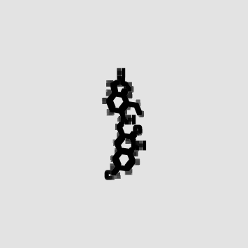 CCc1c(NCc2cc3cc(Cl)ccc3[nH]c2=O)ccc2c[nH]nc12